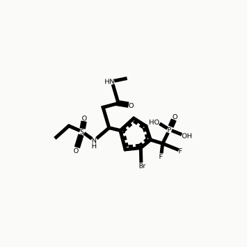 CCS(=O)(=O)NC(CC(=O)NC)c1ccc(C(F)(F)P(=O)(O)O)c(Br)c1